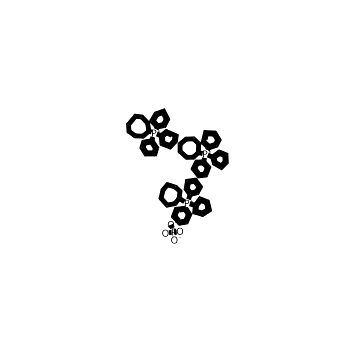 O=P([O-])([O-])[O-].c1ccc([P+](c2ccccc2)(c2ccccc2)C2CCCCCCC2)cc1.c1ccc([P+](c2ccccc2)(c2ccccc2)C2CCCCCCC2)cc1.c1ccc([P+](c2ccccc2)(c2ccccc2)C2CCCCCCC2)cc1